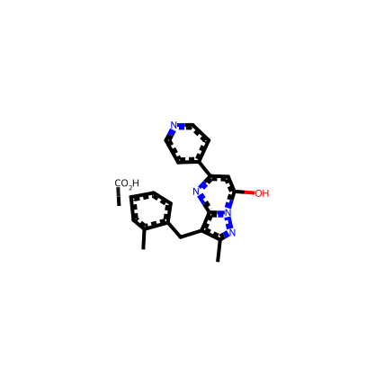 CC(=O)O.Cc1ccccc1Cc1c(C)nn2c(O)cc(-c3ccncc3)nc12